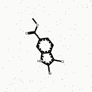 COC(=O)c1ccc2c(Cl)c(Br)[nH]c2c1